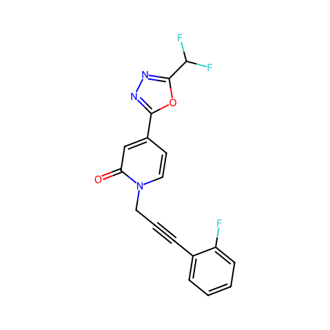 O=c1cc(-c2nnc(C(F)F)o2)ccn1CC#Cc1ccccc1F